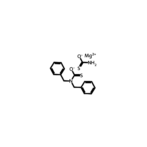 NC([O-])=S.[Mg+2].[O-]C(=S)N(Cc1ccccc1)Cc1ccccc1